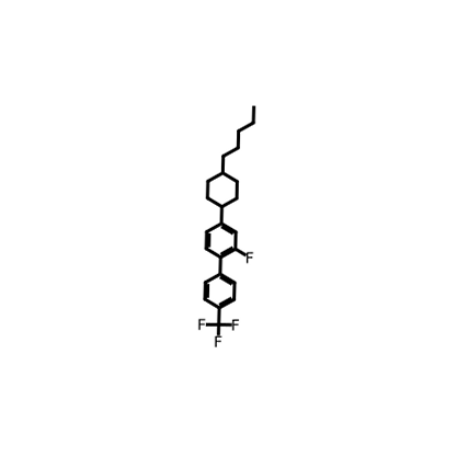 CCCCCC1CCC(c2ccc(-c3ccc(C(F)(F)F)cc3)c(F)c2)CC1